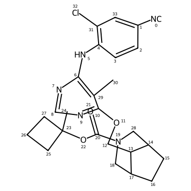 [C-]#[N+]c1ccc(Nc2ncnc(OCC3C4CCC3CN(C(=O)OC3(C)CCC3)C4)c2C)c(Cl)c1